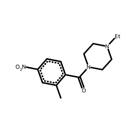 CCN1CCN(C(=O)c2ccc([N+](=O)[O-])cc2C)CC1